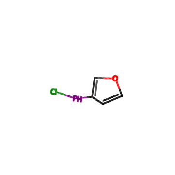 ClPc1ccoc1